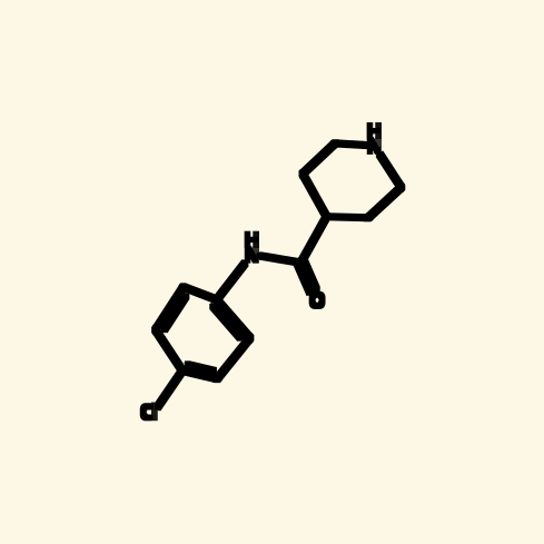 O=C(Nc1ccc(Cl)cc1)C1CCNCC1